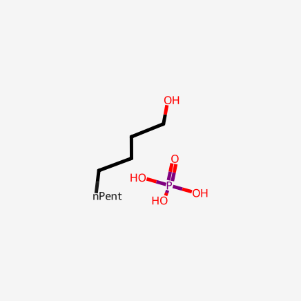 CCCCCCCCCO.O=P(O)(O)O